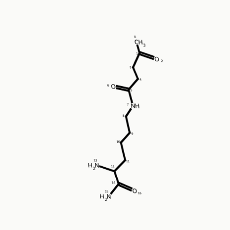 CC(=O)CCC(=O)NCCCCC(N)C(N)=O